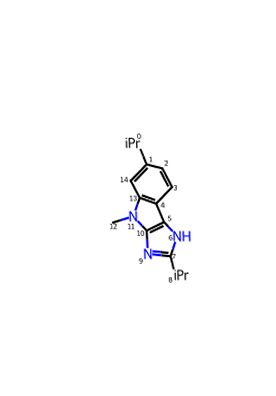 CC(C)c1ccc2c3[nH]c(C(C)C)nc3n(C)c2c1